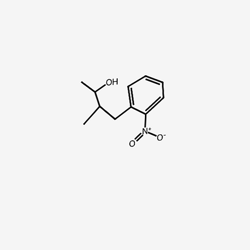 CC(O)C(C)Cc1ccccc1[N+](=O)[O-]